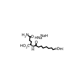 CCCCCCCCCCCCCCCCCC(=O)NC(CCC(N)=O)C(=O)O.[NaH].[NaH]